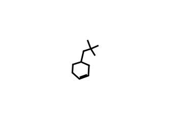 CC(C)(C)CC1CC=CCC1